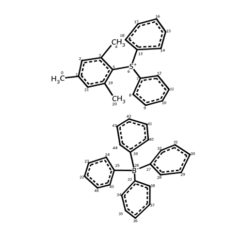 Cc1cc(C)c([S+](c2ccccc2)c2ccccc2)c(C)c1.c1ccc([B-](c2ccccc2)(c2ccccc2)c2ccccc2)cc1